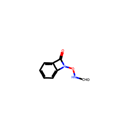 O=CNON1C(=O)c2ccccc21